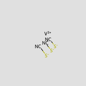 N#C[S-].N#C[S-].N#C[S-].[V+3]